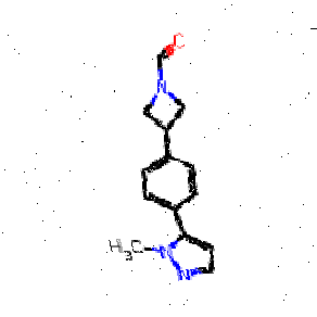 Cn1nccc1-c1ccc(C2CN(C=O)C2)cc1